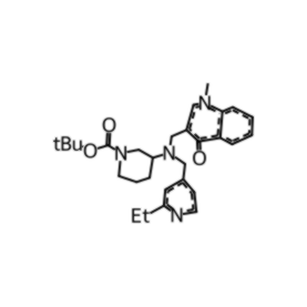 CCc1cc(CN(Cc2cn(C)c3ccccc3c2=O)C2CCCN(C(=O)OC(C)(C)C)C2)ccn1